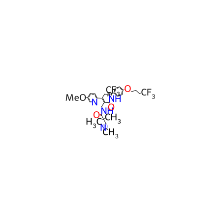 C/N=C/C(C)(C)C(=O)NCC1=C(c2ccc(OC)cn2)C[C@](c2ccc(OCCCC(F)(F)F)cc2)(C(F)(F)F)NC1=O